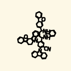 N#CC1=C(N2C3=C(C=CCC3)C3CCC=CC32)CC(n2c3c(c4ccccc42)-c2oc4c(c2CC3)CCC=C4)C(C2C=CC(C3=CCC4C(=C3)OC3=CCCC=C34)NC(C3C=CC=CC3)N2)=C1